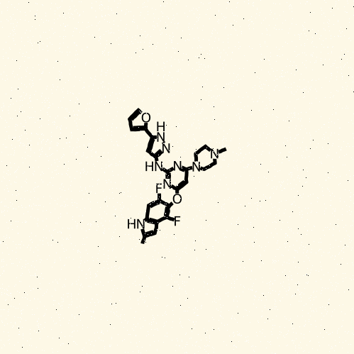 Cc1cc2c(F)c(Oc3cc(N4CCN(C)CC4)nc(Nc4cc(-c5ccco5)[nH]n4)n3)c(F)cc2[nH]1